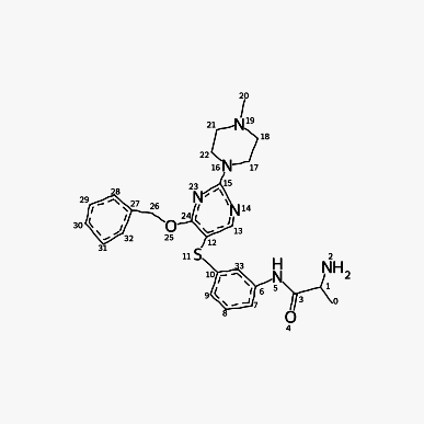 CC(N)C(=O)Nc1cccc(Sc2cnc(N3CCN(C)CC3)nc2OCc2ccccc2)c1